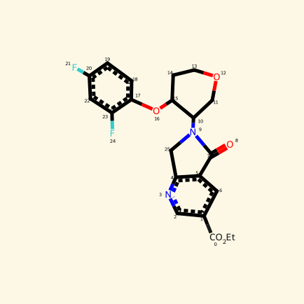 CCOC(=O)c1cnc2c(c1)C(=O)N(C1COCCC1Oc1ccc(F)cc1F)C2